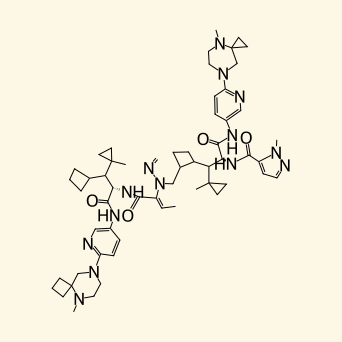 C=NN(CC1CCC1C([C@H](NC(=O)c1ccnn1C)C(=O)Nc1ccc(N2CCN(C)C3(CC3)C2)nc1)C1(C)CC1)/C(=C\C)C(=O)N[C@H](C(=O)Nc1ccc(N2CCN(C)C3(CCC3)C2)nc1)C(C1CCC1)C1(C)CC1